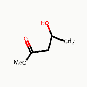 [CH2]C(O)CC(=O)OC